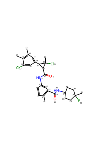 Cc1ccc(NC(=O)C2C(c3cc(C)c(C)c(Cl)c3)C2(C)Cl)cc1C(=O)NC1CCC(C)(F)CC1